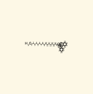 CCCCCCCCCCCCCCCCCCOS(=O)(=O)N(c1ccccc1)c1ccccc1